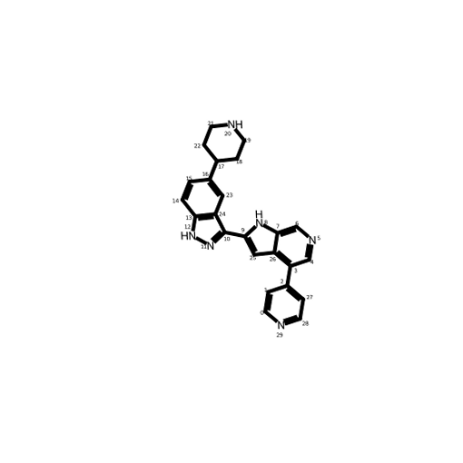 c1cc(-c2cncc3[nH]c(-c4n[nH]c5ccc(C6CCNCC6)cc45)cc23)ccn1